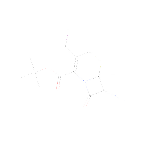 C[Si](C)(C)OC(=O)C1=C(CI)CS[C@H]2C(N)C(=O)N12